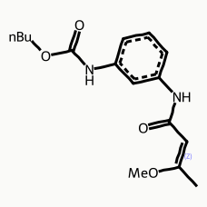 CCCCOC(=O)Nc1cccc(NC(=O)/C=C(/C)OC)c1